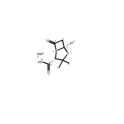 CC1(C)S[C@@H]2CC(=O)N2[C@H]1C(=O)O.[NaH]